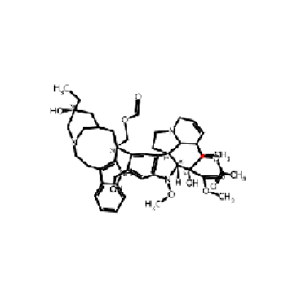 CCC12C=CCN3CC[C@@]4(c5cc([C@@]6(COC=O)CC7CN(CCc8c6[nH]c6ccccc86)C[C@](O)(CC)C7)c(CO)cc5N(OC)[C@H]4[C@@](O)(C(=O)OC)C1OC(C)=O)C32